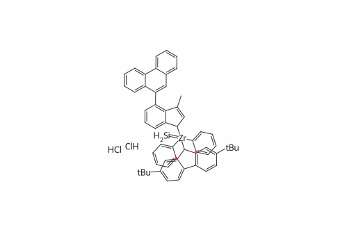 CC1=C[CH]([Zr](=[SiH2])([c]2ccccc2)([c]2ccccc2)[CH]2c3cc(C(C)(C)C)ccc3-c3ccc(C(C)(C)C)cc32)c2cccc(-c3cc4ccccc4c4ccccc34)c21.Cl.Cl